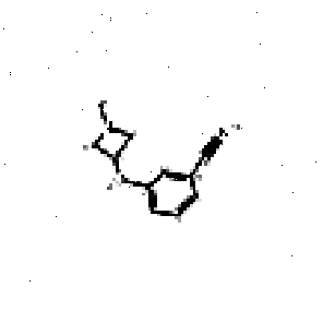 CN1CC(Oc2cccc(C#N)c2)C1